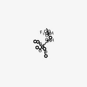 C=CC(C(F)(F)F)S(=O)(=O)NC(=O)c1cccc(NC(=O)CCCCn2c(COc3ccc4ccccc4c3)c(C(=O)c3ccccc3)c3cc(OCc4ccccc4)ccc32)c1